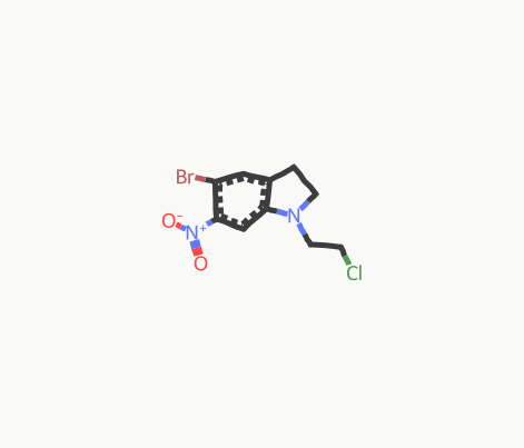 O=[N+]([O-])c1cc2c(cc1Br)CCN2CCCl